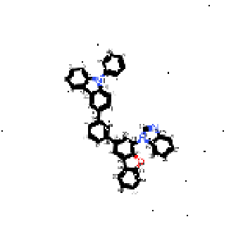 c1ccc(-n2c3ccccc3c3cc(-c4cccc(-c5cc(-n6cnc7ccccc76)c6oc7ccccc7c6c5)c4)ccc32)cc1